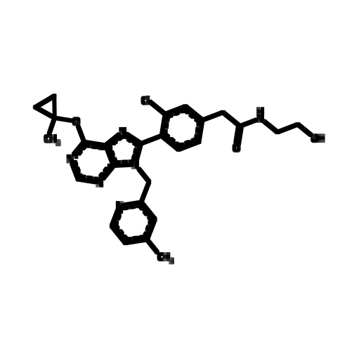 Cc1ccnc(Cn2c(-c3ccc(CC(=O)NCCO)cc3Cl)nc3c(OC4(C)CC4)ncnc32)c1